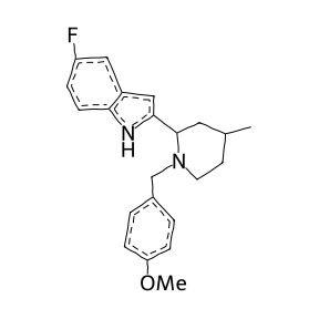 COc1ccc(CN2CCC(C)CC2c2cc3cc(F)ccc3[nH]2)cc1